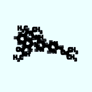 CNC(=O)c1c(F)cnc2c(C(C)[C@H](C)CNc3cc(-c4cnc(COC(C)C)nc4)ncn3)cccc12